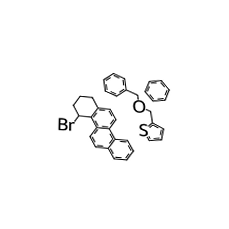 BrC1CCCc2ccc3c(ccc4ccccc43)c21.c1ccc(COCc2cccs2)cc1.c1ccccc1